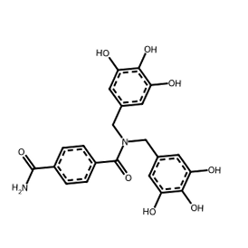 NC(=O)c1ccc(C(=O)N(Cc2cc(O)c(O)c(O)c2)Cc2cc(O)c(O)c(O)c2)cc1